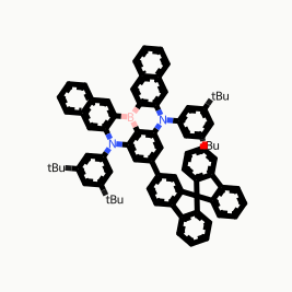 CC(C)(C)c1cc(N2c3cc4ccccc4cc3B3c4cc5ccccc5cc4N(c4cc(C(C)(C)C)cc(C(C)(C)C)c4)c4cc(-c5ccc6c(c5)C5(c7ccccc7-c7ccccc75)c5ccccc5-6)cc2c43)cc(C(C)(C)C)c1